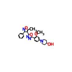 COc1cc(N2CCC(O)CC2)ccc1-c1nnc(-c2c(-c3ccccc3)noc2C)o1